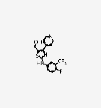 OCc1sc(Nc2ccc(F)c(C(F)(F)F)c2)nc1-c1ccncc1